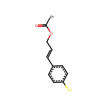 CC(C)C(=O)OC/C=C/c1ccc(S)cc1